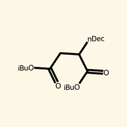 CCCCCCCCCCC(CC(=O)OCC(C)C)C(=O)OCC(C)C